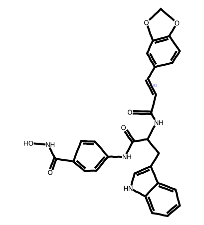 O=C(/C=C/c1ccc2c(c1)OCO2)NC(Cc1c[nH]c2ccccc12)C(=O)Nc1ccc(C(=O)NO)cc1